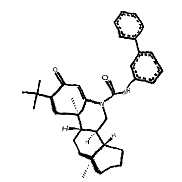 CC(C)(C)C1C[C@@]2(C)C(=CC1=O)N(C(=O)Nc1cccc(-c3ccccc3)c1)C[C@H]1[C@@H]3CCC[C@@]3(C)CC[C@@H]12